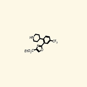 CCOC(=O)c1coc(-c2cc(C(F)(F)F)ccc2C2CCNCC2)n1